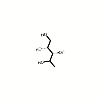 CC(O)[C@@H](O)[C@H](O)CO